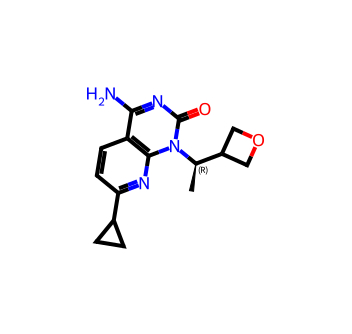 C[C@H](C1COC1)n1c(=O)nc(N)c2ccc(C3CC3)nc21